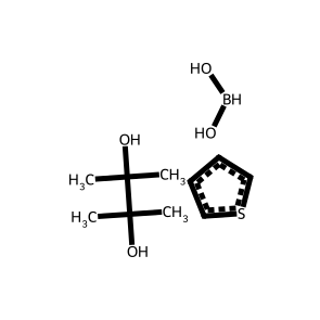 CC(C)(O)C(C)(C)O.OBO.c1ccsc1